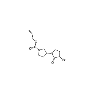 C=CCOC(=O)N1CCC(N2CCC(Br)C2=O)C1